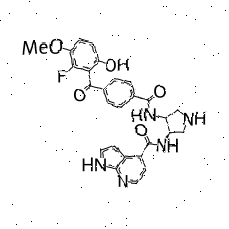 COc1ccc(O)c(C(=O)c2ccc(C(=O)NC3CNC[C@H]3NC(=O)c3ccnc4[nH]ccc34)cc2)c1F